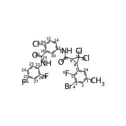 Cc1cc(Br)c(F)c(C2C(C(=O)Nc3ccc(Cl)c(C(=O)Nc4ccc(F)cc4F)c3)C2(Cl)Cl)c1